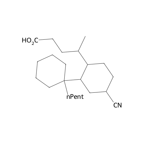 CCCCCC1(C2CC(C#N)CCC2C(C)CCC(=O)O)CCCCC1